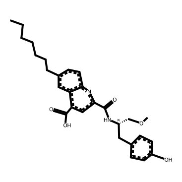 CCCCCCCc1ccc2nc(C(=O)N[C@H](COC)Cc3ccc(O)cc3)cc(C(=O)O)c2c1